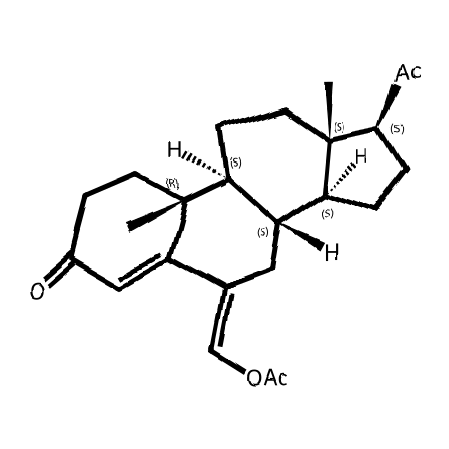 CC(=O)OC=C1C[C@H]2[C@@H]3CC[C@H](C(C)=O)[C@@]3(C)CC[C@@H]2[C@@]2(C)CCC(=O)C=C12